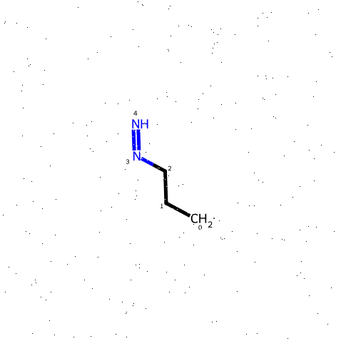 [CH2]CCN=N